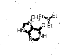 CCN(CC)CC.C[n+]1c[nH]c2nc[nH]c(=O)c21